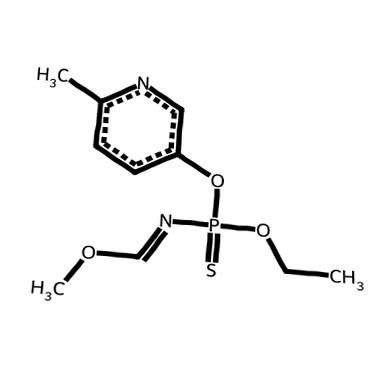 CCOP(=S)(N=COC)Oc1ccc(C)nc1